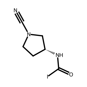 N#CN1CC[C@@H](NC(=O)I)C1